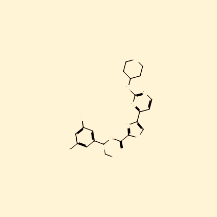 O=C(N[C@@H](CO)c1cc(F)cc(Cl)c1)c1nc(-c2ccnc(NC3CCOCC3)n2)co1